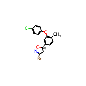 Cc1ccc([C@H]2CC(Br)=NO2)cc1Oc1ccc(Cl)cc1